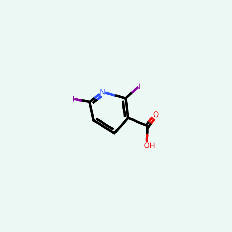 O=C(O)c1ccc(I)nc1I